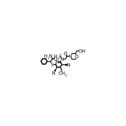 CCc1c(C#N)c(SC(C(N)=O)c2ccccc2)nc(N(C)CC(=O)N2CCOC(CO)C2)c1C#N